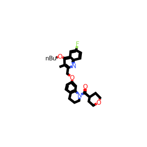 CCCCOc1c(C)c(COc2ccc3c(c2)N(C(=O)C2CCOCC2)CCC3)nc2ccc(F)cc12